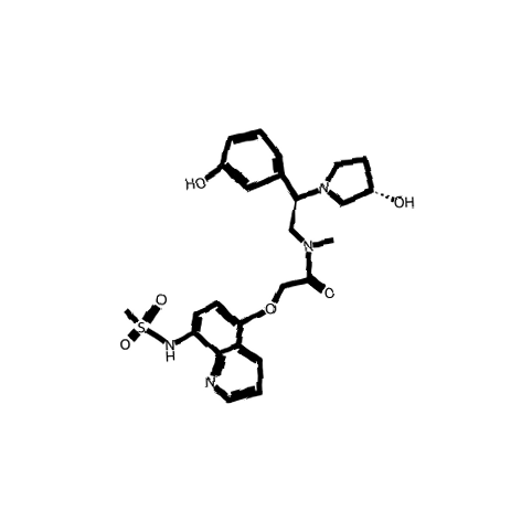 CN(C[C@@H](c1cccc(O)c1)N1CC[C@H](O)C1)C(=O)COc1ccc(NS(C)(=O)=O)c2ncccc12